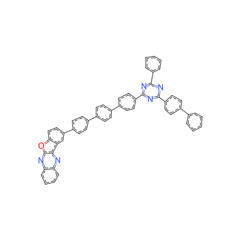 c1ccc(-c2ccc(-c3nc(-c4ccccc4)nc(-c4ccc(-c5ccc(-c6ccc(-c7ccc8oc9nc%10ccccc%10nc9c8c7)cc6)cc5)cc4)n3)cc2)cc1